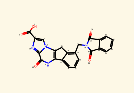 O=C(O)c1cn2c3c([nH]c(=O)c2n1)-c1cccc(CN2C(=O)c4ccccc4C2=O)c1C3